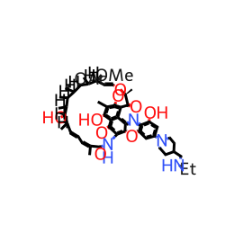 CCNCC1CCN(c2cc(O)c3nc4c5c6c7c(C)c(O)c5c(=O)c(c-4oc3c2)NC(=O)/C(C)=C\C=C\[C@H](C)[C@H](O)[C@@H](C)[C@@H](C)[C@@H](C)[C@H](OC(C)=O)[C@H](C)[C@@H](OC)/C=C/O[C@@](C)(O7)C6=O)CC1